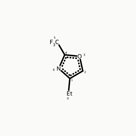 CCc1coc(C(F)(F)F)n1